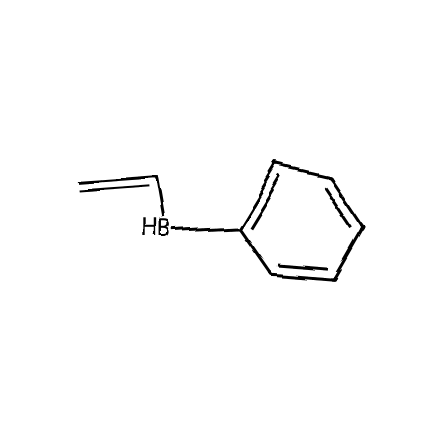 C=CBc1ccccc1